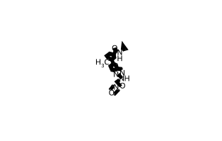 Cc1ccc(C(=O)NC2CC2)cc1-c1ccc2nc(NCC(=O)N3CCOCC3)ncc2c1